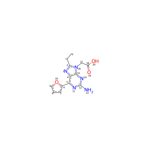 CCc1nc2c(-c3ccco3)nc(N)nc2n1CC(=O)O